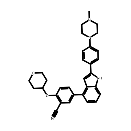 CN1CCN(c2ccc(-c3cc4c(-c5ccc(OC6CCOCC6)c(C#N)c5)cccc4[nH]3)cc2)CC1